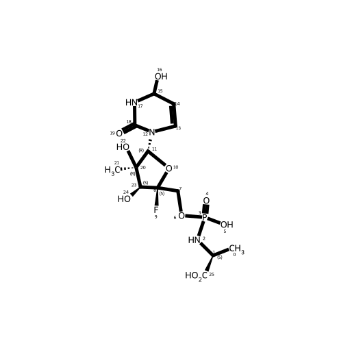 C[C@H](NP(=O)(O)OC[C@@]1(F)O[C@@H](N2C=CC(O)NC2=O)[C@](C)(O)[C@@H]1O)C(=O)O